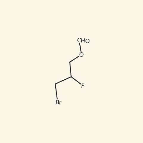 O=COCC(F)CBr